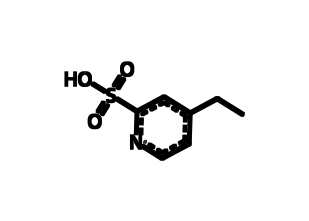 CCc1ccnc(S(=O)(=O)O)c1